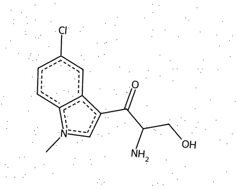 Cn1cc(C(=O)C(N)CO)c2cc(Cl)ccc21